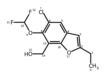 CCc1cc2cc(Cl)c(OC(F)F)c(CO)c2o1